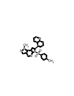 Cc1ccc(S(=O)(=O)n2c(-c3cccc4ncccc34)cc3c4c(cnc32)cnn4C)cc1